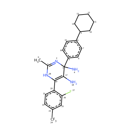 CC1=NC(N)(c2ccc(C3CCCCC3)cc2)C(N)=C(c2ccc(C(F)(F)F)cc2F)N1